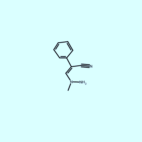 CN(N)C=C(C#N)c1ccccc1